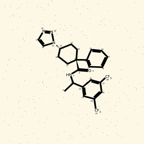 CC(NC(=O)[C@]1(c2ccccc2)CC[C@@H](n2ccnn2)CC1)c1cc(C(F)(F)F)cc(C(F)(F)F)c1